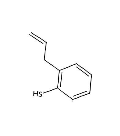 C=CCc1ccc[c]c1S